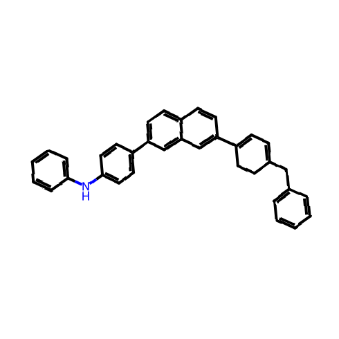 C1=C(Cc2ccccc2)CCC(c2ccc3ccc(-c4ccc(Nc5ccccc5)cc4)cc3c2)=C1